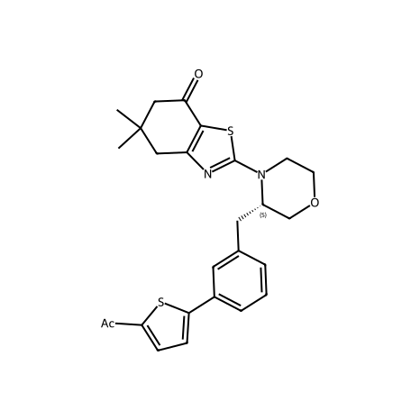 CC(=O)c1ccc(-c2cccc(C[C@H]3COCCN3c3nc4c(s3)C(=O)CC(C)(C)C4)c2)s1